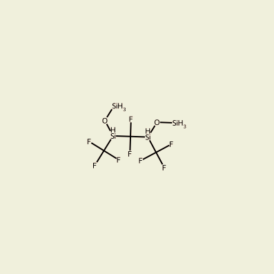 FC(F)(F)[SiH](O[SiH3])C(F)(F)[SiH](O[SiH3])C(F)(F)F